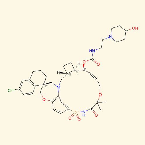 CC1(C)OCC=C[C@H](OC(=O)NCCN2CCC(O)CC2)[C@@H]2CC[C@H]2CN2C[C@@]3(CCCc4cc(Cl)ccc43)COc3ccc(cc32)S(=O)(=O)NC1=O